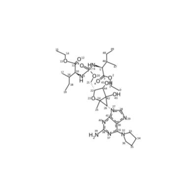 CCOC(=O)[C@@H](NP(=O)(N[C@H](C(=O)OCC)C(C)CC)OC[C@H]1OC2(C)[C@@H](n3cnc4c(N5CCCC5)nc(N)nc43)C2(O)C1O)C(C)CC